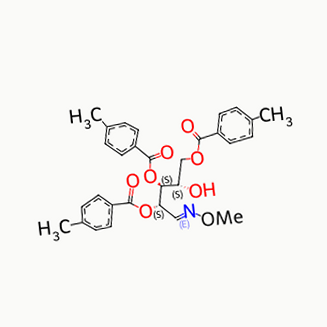 CO/N=C/[C@H](OC(=O)c1ccc(C)cc1)[C@@H](OC(=O)c1ccc(C)cc1)[C@@H](O)COC(=O)c1ccc(C)cc1